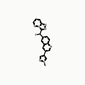 Cn1cc(-c2cnc3ccc(C(F)c4nnc5cccnn45)cc3c2)cn1